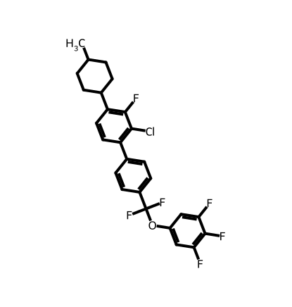 CC1CCC(c2ccc(-c3ccc(C(F)(F)Oc4cc(F)c(F)c(F)c4)cc3)c(Cl)c2F)CC1